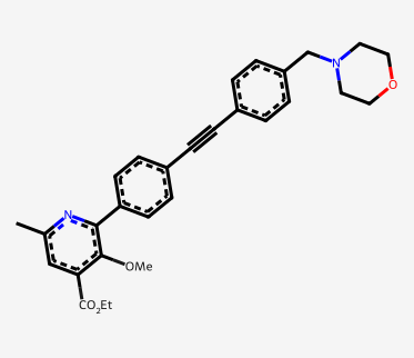 CCOC(=O)c1cc(C)nc(-c2ccc(C#Cc3ccc(CN4CCOCC4)cc3)cc2)c1OC